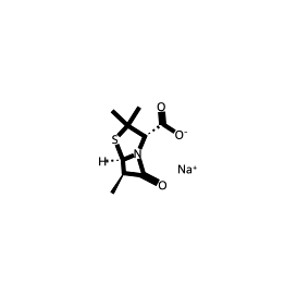 C[C@@H]1C(=O)N2[C@@H]1SC(C)(C)[C@@H]2C(=O)[O-].[Na+]